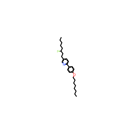 CCCCCCCCOc1ccc(-c2ccc(CCC(F)CCCCC)cn2)cc1